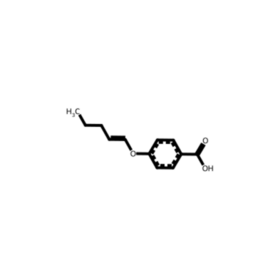 CCCC=COc1ccc(C(=O)O)cc1